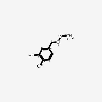 C=NOCc1ccc(Cl)c(F)c1